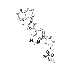 Cc1sc(C(=O)c2cncnc2N[C@H]2CC[C@@H](COS(N)(=O)=O)C2)cc1C1OCCc2cccnc21